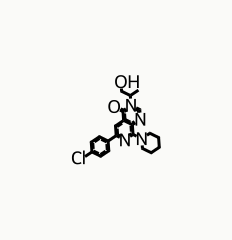 CC(CO)n1cnc2c(N3CCCCC3)nc(-c3ccc(Cl)cc3)cc2c1=O